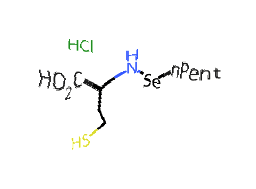 CCCCC[Se]NC(CS)C(=O)O.Cl